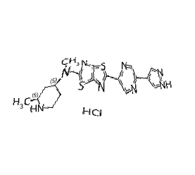 C[C@H]1C[C@@H](N(C)c2nc3sc(-c4cnc(-c5cn[nH]c5)cn4)nc3s2)CCN1.Cl